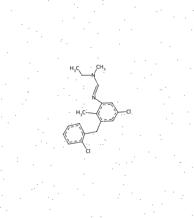 CCN(C)C=Nc1cc(Cl)cc(Cc2ccccc2Cl)c1C